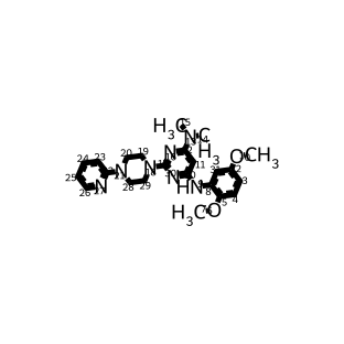 COc1ccc(OC)c(Nc2cc(N(C)C)nc(N3CCN(c4ccccn4)CC3)n2)c1